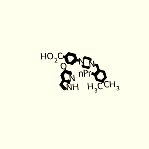 CCCC1=C(CN2CCN(c3ccc(C(=O)O)c(Oc4cnc5[nH]ccc5c4)c3)CC2)CCC(C)(C)C1